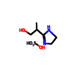 CC(CO)C1=NCCN1.O=S(=O)(O)O